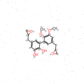 COc1cc(CC2CO2)cc(-c2cc(CC3CO3)cc(O)c2O)c1OC